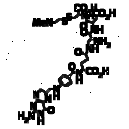 CNCCSSCC(NC(=O)C(CC(=O)O)NC(=O)C(N)CNC(=O)CCC(NC(=O)c1ccc(NCc2cnc3nc(N)[nH]c(=O)c3n2)cc1)C(=O)O)C(=O)O